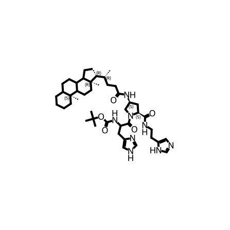 C[C@H](CCC(=O)N[C@H]1C[C@@H](C(=O)NCCc2cnc[nH]2)N(C(=O)C(Cc2c[nH]cn2)NC(=O)OC(C)(C)C)C1)[C@H]1CCC2C3CCC4CCCC[C@]4(C)C3CC[C@@]21C